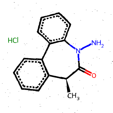 C[C@@H]1C(=O)N(N)c2ccccc2-c2ccccc21.Cl